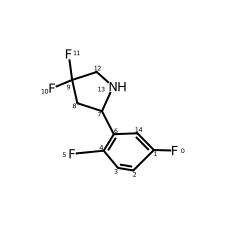 Fc1ccc(F)c(C2CC(F)(F)CN2)c1